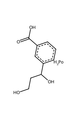 O=C(O)c1cccc(C(O)CCO)c1.[PoH2]